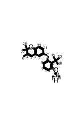 CC1=Cc2cc(Sc3cccc(O[SiH](C)C)c3C(C)(C)C)ccc2OC1(C)C